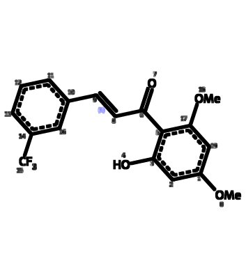 COc1cc(O)c(C(=O)/C=C/c2cccc(C(F)(F)F)c2)c(OC)c1